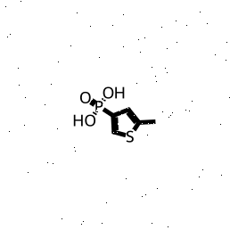 Cc1cc(P(=O)(O)O)cs1